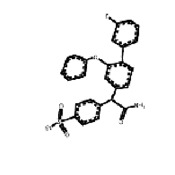 CCS(=O)(=O)c1ccc(C(C(N)=O)c2ccc(-c3cccc(F)c3)c(Oc3ccccc3)c2)cc1